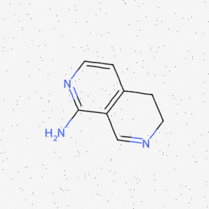 Nc1nccc2c1C=NCC2